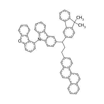 CC1(C)c2ccccc2-c2cc(C(CCc3ccc4c(ccc5c6ccccc6ccc45)c3)c3ccc4c(c3)c3ccccc3n4-c3cccc4oc5ccccc5c34)ccc21